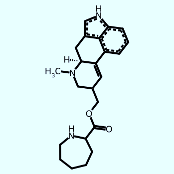 CN1CC(COC(=O)C2CCCCCN2)C=C2c3cccc4[nH]cc(c34)C[C@@H]21